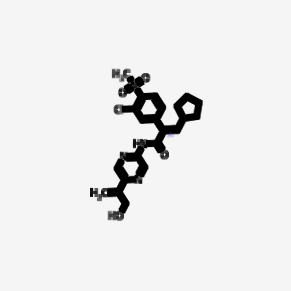 C=C(CO)c1cnc(NC(=O)/C(=C/C2CCCC2)c2ccc(S(C)(=O)=O)c(Cl)c2)cn1